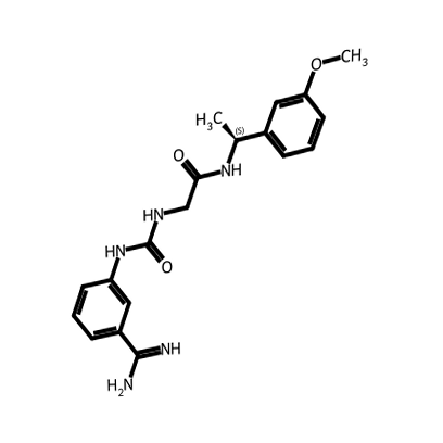 COc1cccc([C@H](C)NC(=O)CNC(=O)Nc2cccc(C(=N)N)c2)c1